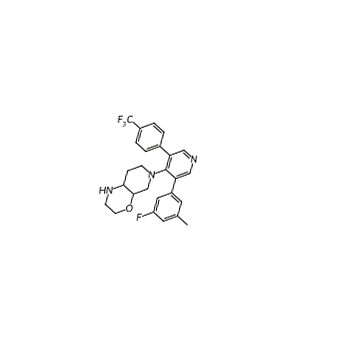 Cc1cc(F)cc(-c2cncc(-c3ccc(C(F)(F)F)cc3)c2N2CCC3NCCOC3C2)c1